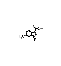 Cc1ccc2c(C(=O)O)cn(F)c2c1